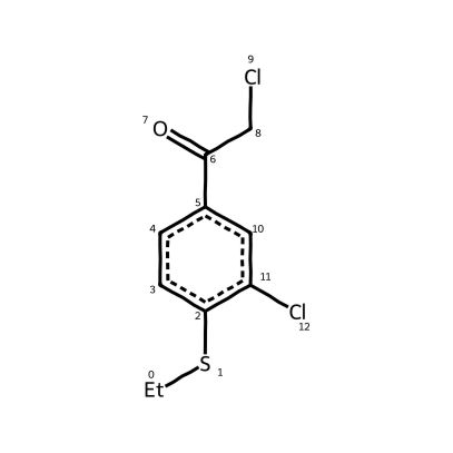 CCSc1ccc(C(=O)CCl)cc1Cl